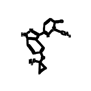 Cn1nc(-c2n[nH]c3ccc(OC4(C)CC4)cc23)ccc1=O